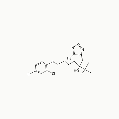 CC(C)(C)C(O)(CCCCOc1ccc(Cl)cc1Cl)Cn1ncnc1S